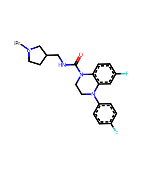 CC(C)N1CCC(CNC(=O)N2CCN(c3ccc(F)cc3)c3cc(F)ccc32)C1